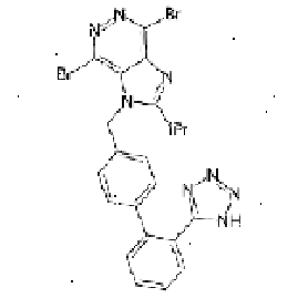 CC(C)c1nc2c(Br)nnc(Br)c2n1Cc1ccc(-c2ccccc2-c2nnn[nH]2)cc1